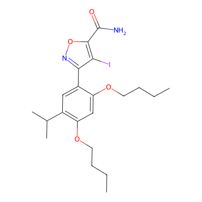 CCCCOc1cc(OCCCC)c(C(C)C)cc1-c1noc(C(N)=O)c1I